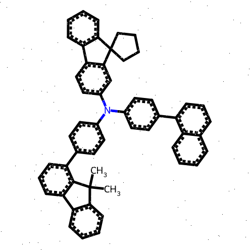 CC1(C)c2ccccc2-c2cccc(-c3ccc(N(c4ccc(-c5cccc6ccccc56)cc4)c4ccc5c(c4)C4(CCCC4)c4ccccc4-5)cc3)c21